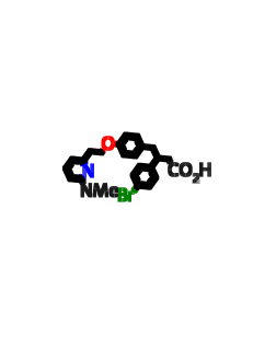 CNc1cccc(CCOc2ccc(CC(CC(=O)O)c3ccc(Br)cc3)cc2)n1